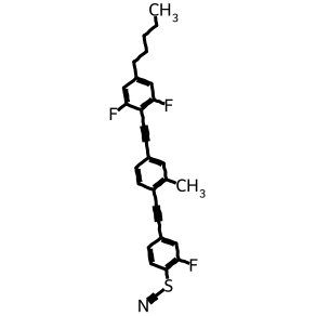 CCCCCc1cc(F)c(C#Cc2ccc(C#Cc3ccc(SC#N)c(F)c3)c(C)c2)c(F)c1